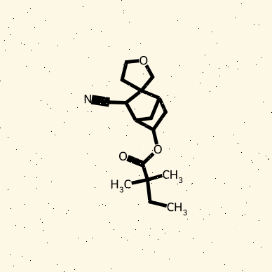 CCC(C)(C)C(=O)OC1CC2CC1C(C#N)C21CCOC1